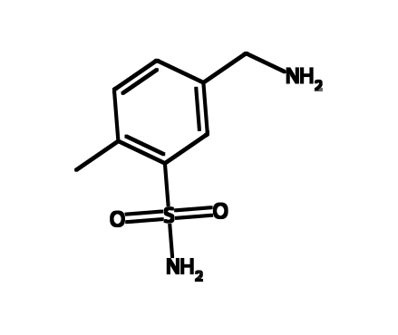 Cc1ccc(CN)cc1S(N)(=O)=O